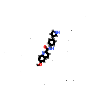 COc1ccc2nc(C(=O)Nc3ccc([C@H]4CCNC4)cc3)ccc2c1